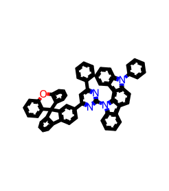 c1ccc(-c2cc(-c3ccc4c(c3)C3(c5ccccc5Oc5ccccc53)c3ccccc3-4)nc(-n3c4ccccc4c4ccc5c(c6ccccc6n5-c5ccccc5)c43)n2)cc1